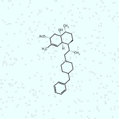 CC(=O)O[C@@H]1[C][C@@]2(O)[C@H](C)CC[C@@H]([C@H](C)CN3CCC(Cc4ccccc4)CC3)[C@H]2C=C1C